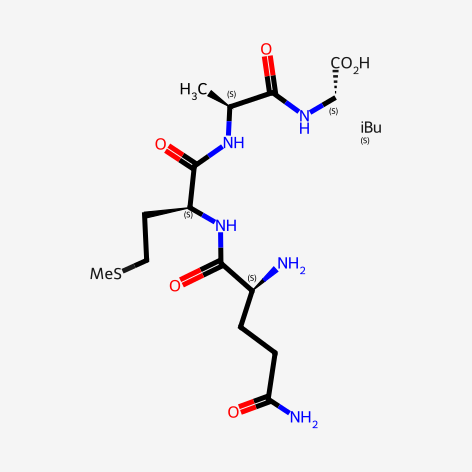 CC[C@H](C)[C@H](NC(=O)[C@H](C)NC(=O)[C@H](CCSC)NC(=O)[C@@H](N)CCC(N)=O)C(=O)O